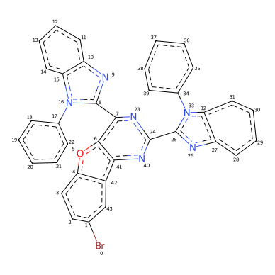 Brc1ccc2oc3c(-c4nc5ccccc5n4-c4ccccc4)nc(-c4nc5ccccc5n4-c4ccccc4)nc3c2c1